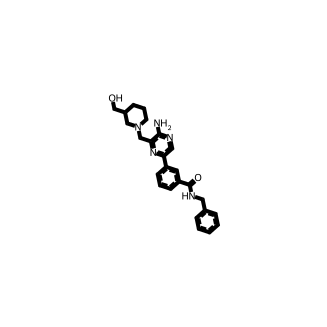 Nc1ncc(-c2cccc(C(=O)NCc3ccccc3)c2)nc1CN1CCCC(CO)C1